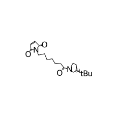 CC(C)(C)[C@@H]1CCN(C(=O)CCCCCCN2C(=O)C=CC2=O)C1